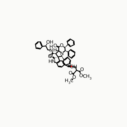 COC(=O)C(CC#Cc1ccc2c(c1)[C@]1(C(=O)N2)[C@H](c2ccc(O)cc2)N2[C@H](c3ccccc3)[C@H](c3ccccc3)OC(=O)[C@H]2[C@@H]1C(=O)NC[C@H](O)c1ccccc1)C(=O)OC